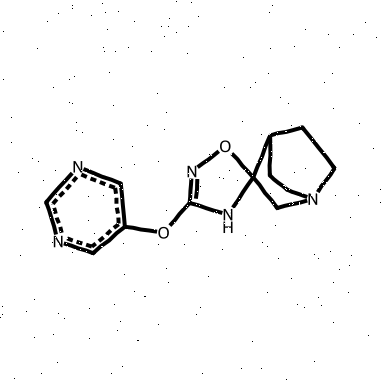 c1ncc(OC2=NOC3(CN4CCC3CC4)N2)cn1